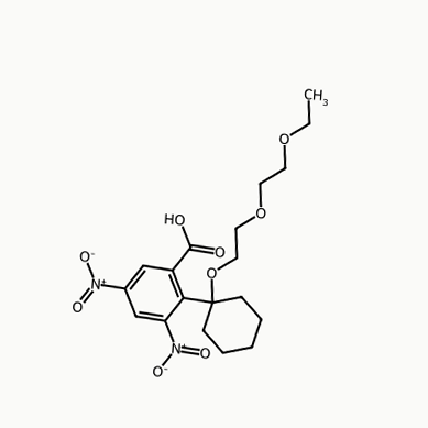 CCOCCOCCOC1(c2c(C(=O)O)cc([N+](=O)[O-])cc2[N+](=O)[O-])CCCCC1